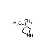 CS1(C)CNC1